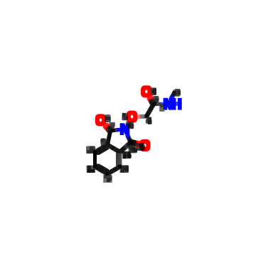 CNC(=O)CON1C(=O)c2ccccc2C1=O